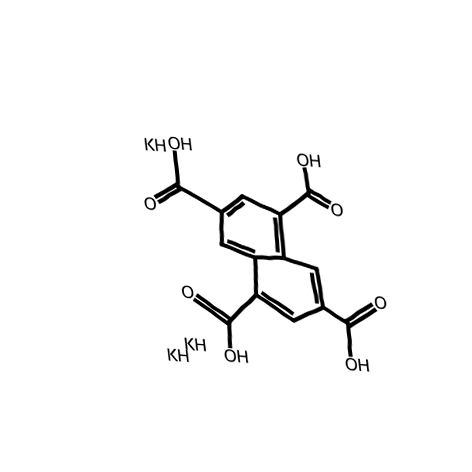 O=C(O)c1cc(C(=O)O)c2cc(C(=O)O)cc(C(=O)O)c2c1.[KH].[KH].[KH]